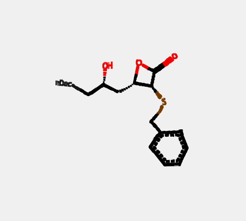 CCCCCCCCCCC[C@H](O)C[C@@H]1OC(=O)[C@H]1SCc1ccccc1